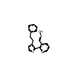 ON=Cc1cccnc1-c1occc1CCc1ccccc1